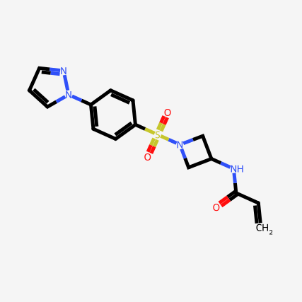 C=CC(=O)NC1CN(S(=O)(=O)c2ccc(-n3cccn3)cc2)C1